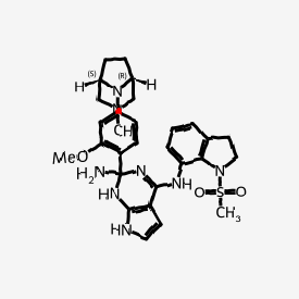 COc1cc(N2[C@@H]3CC[C@H]2CN(C)C3)ccc1C1(N)N=C(Nc2cccc3c2N(S(C)(=O)=O)CC3)c2cc[nH]c2N1